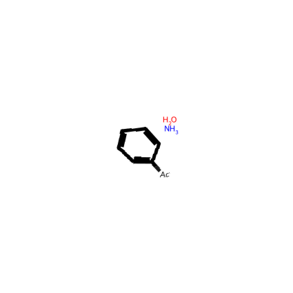 CC(=O)c1ccccc1.N.O